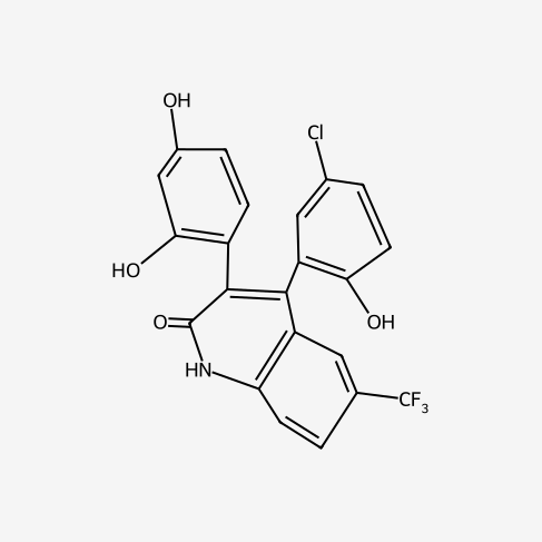 O=c1[nH]c2ccc(C(F)(F)F)cc2c(-c2cc(Cl)ccc2O)c1-c1ccc(O)cc1O